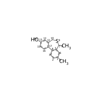 Cc1ccc2c(c1)C(C)SCc1cc(O)ccc1-2